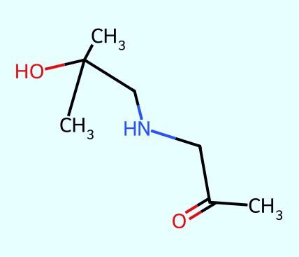 CC(=O)CNCC(C)(C)O